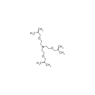 C=C(C)COCCN(CCOCC(=C)C)CCOCC(=C)C